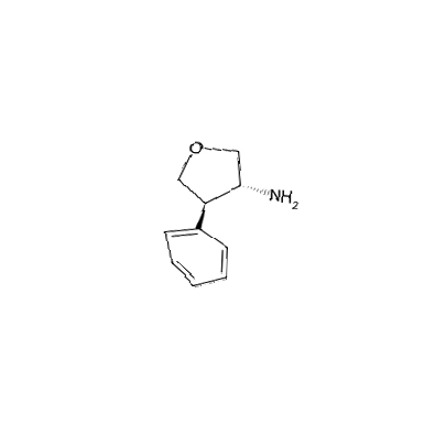 N[C@H]1COC[C@@H]1c1ccccc1